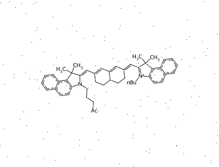 CCCC[N+]1=C(/C=C2/C=C3C=C(/C=C4\N(CCCC(C)=O)c5ccc6ccccc6c5C4(C)C)CCC3CC2)C(C)(C)c2c1ccc1ccccc21